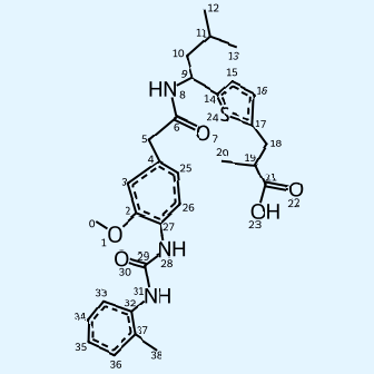 COc1cc(CC(=O)NC(CC(C)C)c2ccc(CC(C)C(=O)O)s2)ccc1NC(=O)Nc1ccccc1C